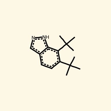 CC(C)(C)c1ccc2cn[nH]c2c1C(C)(C)C